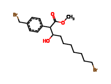 COC(=O)C(c1ccc(CBr)cc1)C(O)CCCCCCCBr